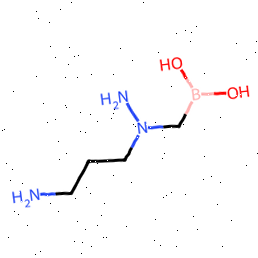 NCCCN(N)CB(O)O